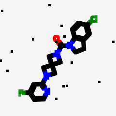 O=C(N1CC2(C1)CN(c1cc(F)ccn1)C2)N1CCc2cc(Cl)ccc21